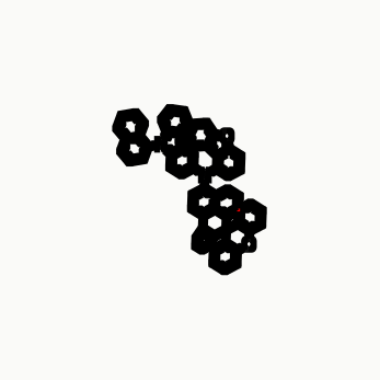 c1ccc2c(c1)Oc1ccccc1C21c2ccccc2-c2ccc(N(c3ccc4c(c3)c3ccccc3n4-c3cccc4ccccc34)c3cccc4oc5ccccc5c34)c3cccc1c23